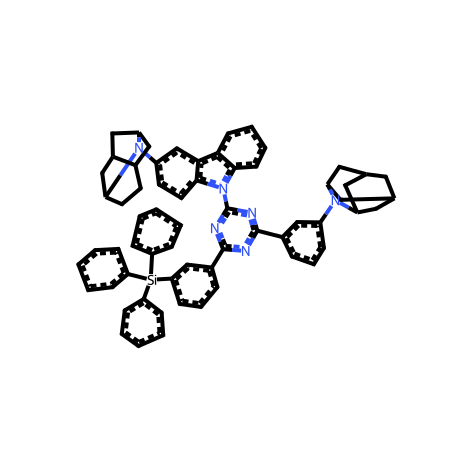 c1ccc([Si](c2ccccc2)(c2ccccc2)c2cccc(-c3nc(-c4cccc(N5C6CC7CC(C6)CC5C7)c4)nc(-n4c5ccccc5c5cc(N6C7CCC8CC6CC8C7)ccc54)n3)c2)cc1